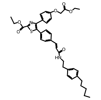 CCCCCc1ccc(CCNC(=O)/C=C/c2ccc(-c3sc(C(=O)OCC)nc3-c3ccc(OCC(=O)OCC)cc3)cc2)cc1